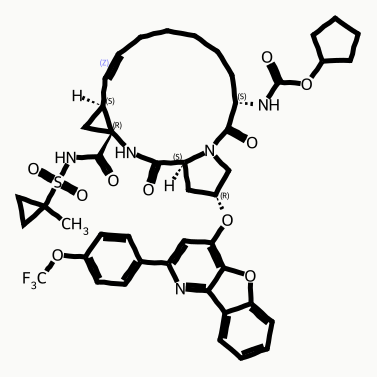 CC1(S(=O)(=O)NC(=O)[C@@]23C[C@H]2/C=C\CCCCC[C@H](NC(=O)OC2CCCC2)C(=O)N2C[C@H](Oc4cc(-c5ccc(OC(F)(F)F)cc5)nc5c4oc4ccccc45)C[C@H]2C(=O)N3)CC1